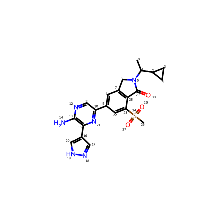 CC(C1CC1)N1Cc2cc(-c3cnc(N)c(-c4cn[nH]c4)n3)cc(S(C)(=O)=O)c2C1=O